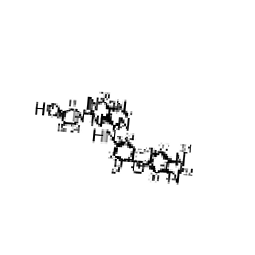 Cc1cc(Nc2ncnc3cnc(N4CC[C@@H](O)C4)nc23)ccc1Oc1ccc2c(c1)ncn2C